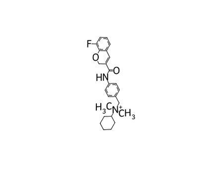 C[N+](C)(Cc1ccc(NC(=O)C2=Cc3cccc(F)c3OC2)cc1)C1CCCCC1